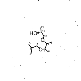 CC(C)COC(C)C(C)OCC(C)O